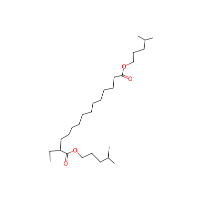 CCC(CCCCCCCCCCCC(=O)OCCCC(C)C)C(=O)OCCCC(C)C